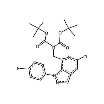 CC(C)(C)OC(=O)N(Cc1nc(Cl)cc2cnn(-c3ccc(F)cc3)c12)C(=O)OC(C)(C)C